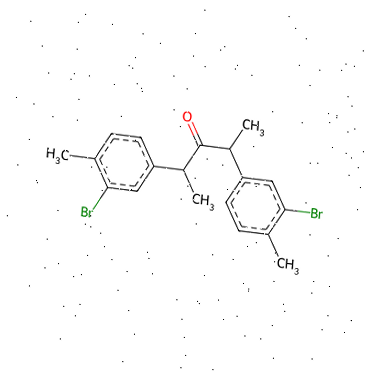 Cc1ccc(C(C)C(=O)C(C)c2ccc(C)c(Br)c2)cc1Br